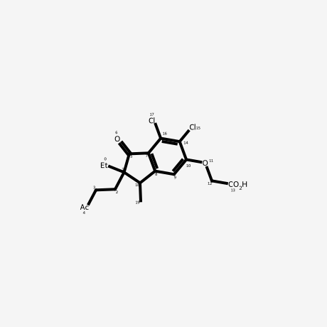 CCC1(CCC(C)=O)C(=O)c2c(cc(OCC(=O)O)c(Cl)c2Cl)C1C